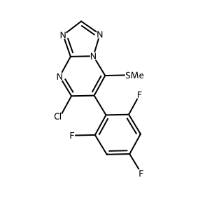 CSc1c(-c2c(F)cc(F)cc2F)c(Cl)nc2ncnn12